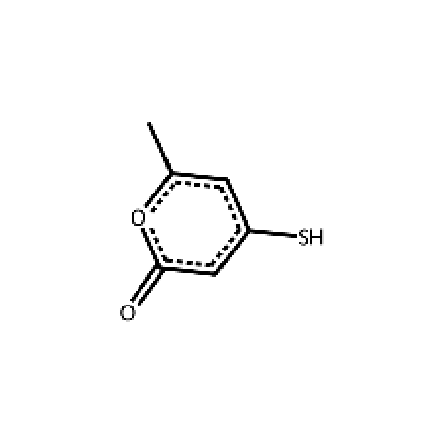 Cc1cc(S)cc(=O)o1